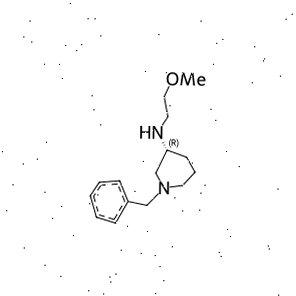 COCCN[C@@H]1CCCN(Cc2ccccc2)C1